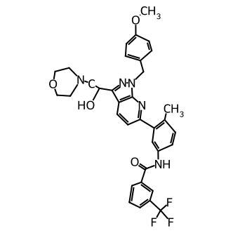 COc1ccc(Cn2nc(C(O)CN3CCOCC3)c3ccc(-c4cc(NC(=O)c5cccc(C(F)(F)F)c5)ccc4C)nc32)cc1